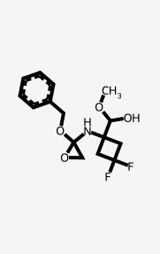 COC(O)C1(NC2(OCc3ccccc3)CO2)CC(F)(F)C1